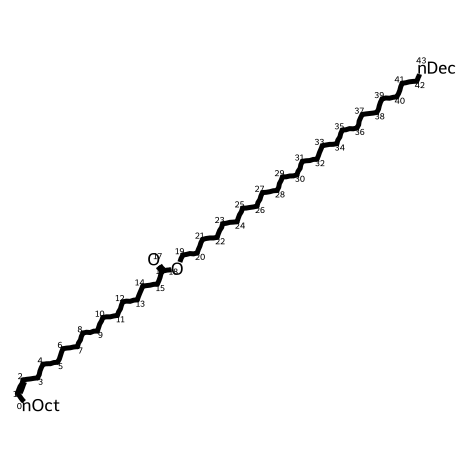 CCCCCCCC/C=C\CCCCCCCCCCCCCC(=O)OCCCCCCCCCCCCCCCCCCCCCCCCCCCCCCCCCC